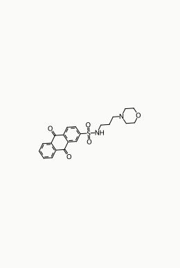 O=C1c2ccccc2C(=O)c2cc(S(=O)(=O)NCCCN3CCOCC3)ccc21